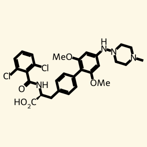 COc1cc(NN2CCN(C)CC2)cc(OC)c1-c1ccc(C[C@H](NC(=O)c2c(Cl)cccc2Cl)C(=O)O)cc1